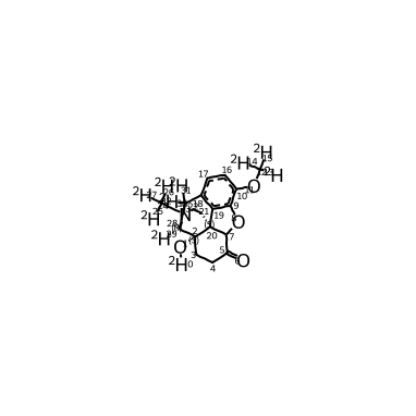 [2H]O[C@@]12CCC(=O)C3Oc4c(OC([2H])([2H])[2H])ccc5c4[C@@]31CCN(C([2H])([2H])[2H])[C@]2([2H])C5([2H])[2H]